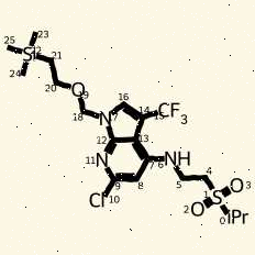 CC(C)S(=O)(=O)CCNc1cc(Cl)nc2c1c(C(F)(F)F)cn2COCC[Si](C)(C)C